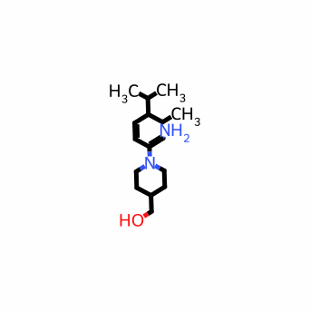 CCC(/C=C\C(=C/N)N1CCC(CO)CC1)C(C)C